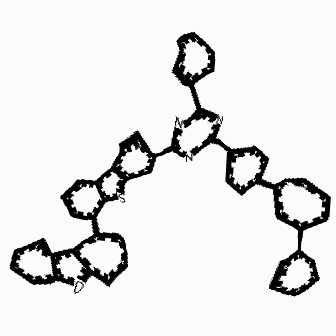 c1ccc(-c2cccc(-c3ccc(-c4nc(-c5ccccc5)nc(-c5ccc6c(c5)sc5c(-c7cccc8oc9ccccc9c78)cccc56)n4)cc3)c2)cc1